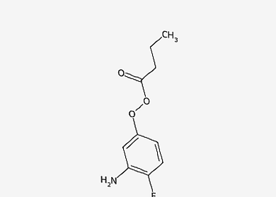 CCCC(=O)OOc1ccc(F)c(N)c1